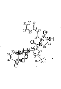 CC(C)(C)c1cc(C(=O)N2CCNC(=O)[C@@H]2CCc2ccccc2)c(NC(=O)Nc2cccc(Cl)c2Cl)s1